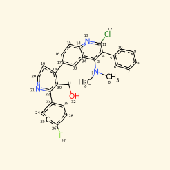 CN(C)c1c(-c2ccccc2)c(Cl)nc2ccc(-c3ccnc(-c4ccc(F)cc4)c3CO)cc12